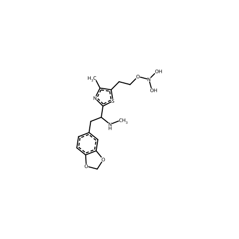 CNC(Cc1ccc2c(c1)OCO2)c1nc(C)c(CCON(O)O)s1